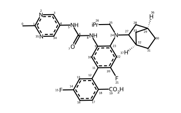 Cc1ncc(NC(=O)Nc2cc(-c3cc(F)ccc3C(=O)O)c(F)cc2N(CC(C)C)C2C[C@H]3CC[C@@H]2C3)cn1